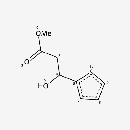 COC(=O)CC(O)c1cccs1